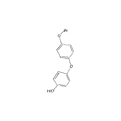 CC(C)Oc1ccc(Oc2ccc(O)cc2)cc1